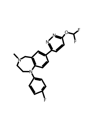 CN1CCN(c2ccc(F)cc2)c2ccc(-c3ccc(OC(F)F)nn3)cc2C1